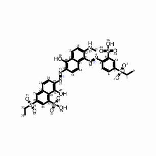 CCS(=O)(=O)c1ccc(/N=N/c2c(NC)ccc3c(O)c(/N=N/c4ccc5cc(S(=O)(=O)CC)cc(S(=O)(=O)O)c5c4O)ccc23)c(S(=O)(=O)O)c1